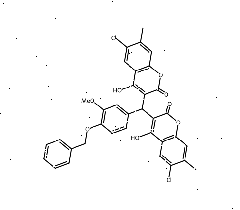 COc1cc(C(c2c(O)c3cc(Cl)c(C)cc3oc2=O)c2c(O)c3cc(Cl)c(C)cc3oc2=O)ccc1OCc1ccccc1